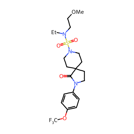 CCN(CCOC)S(=O)(=O)N1CCC2(CCN(c3ccc(OC(F)(F)F)cc3)C2=O)CC1